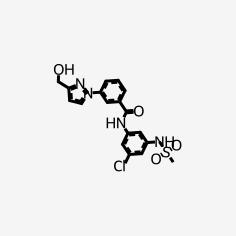 CS(=O)(=O)Nc1cc(Cl)cc(NC(=O)c2cccc(-n3ccc(CO)n3)c2)c1